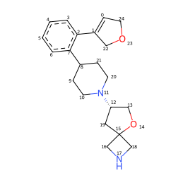 C1=C(c2ccccc2C2CCN([C@@H]3COC4(CNC4)C3)CC2)COC1